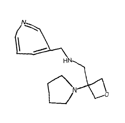 c1cncc(CNCC2(N3CCCC3)COC2)c1